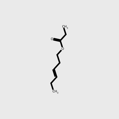 CCC=CCCOC(=O)CC